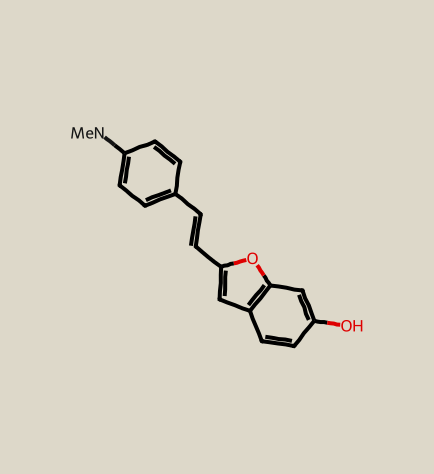 CNc1ccc(C=Cc2cc3ccc(O)cc3o2)cc1